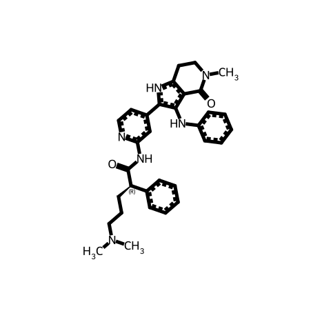 CN(C)CCC[C@@H](C(=O)Nc1cc(-c2[nH]c3c(c2Nc2ccccc2)C(=O)N(C)CC3)ccn1)c1ccccc1